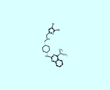 CN(C)c1nc(N[C@H]2CC[C@@H](CNCc3cc(Br)c(Br)o3)CC2)nc2ccccc12